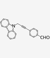 O=Cc1ccc(C#CCn2c3ccccc3c3ccccc32)cc1